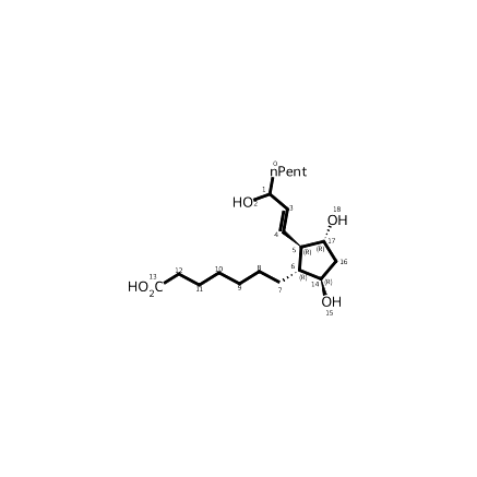 CCCCCC(O)C=C[C@@H]1[C@@H](CCCCCCC(=O)O)[C@H](O)C[C@H]1O